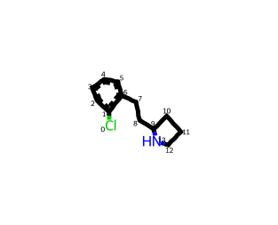 Clc1ccccc1CCC1CCCN1